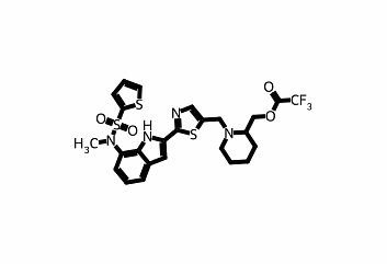 CN(c1cccc2cc(-c3ncc(CN4CCCCC4COC(=O)C(F)(F)F)s3)[nH]c12)S(=O)(=O)c1cccs1